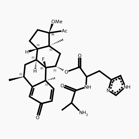 CO[C@]1(C(C)=O)CC[C@H]2[C@@H]3C[C@H](C)C4=CC(=O)C=C[C@]4(C)[C@@]3(F)[C@@H](OC(=O)C(Cc3c[nH]cn3)NC(=O)C(C)N)C[C@@]21C